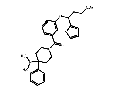 CNCCC(Oc1cccc(C(=O)N2CCC(c3ccccc3)(N(C)C)CC2)c1)c1cccs1